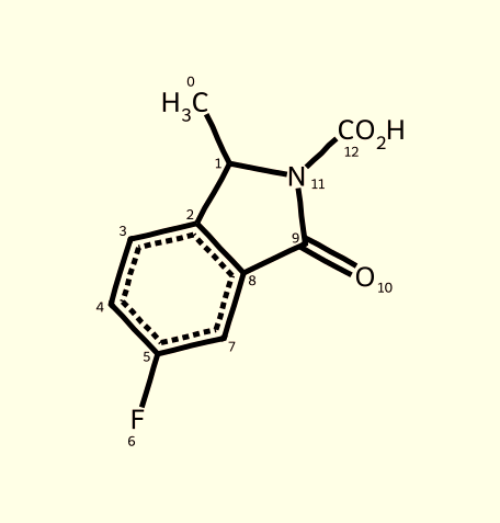 CC1c2ccc(F)cc2C(=O)N1C(=O)O